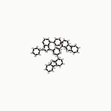 c1ccc(-c2cccc3c2c(-c2nc(-c4cccc5c4oc4ccccc45)nc(-c4cccc5c4oc4ccccc45)n2)nn3-c2ccccc2)cc1